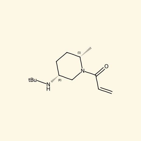 C=CC(=O)N1C[C@H](NC(C)(C)C)CC[C@@H]1C